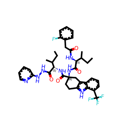 CCC(C)[C@H](NC(=O)Cc1ccccc1F)C(=O)N[C@]1(C(=O)N[C@H](C(=O)NNc2ccccn2)C(C)CC)CCc2[nH]c3c(C(F)(F)F)cccc3c2C1